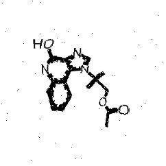 CC(=O)OCC(C)(C)n1cnc2c(O)nc3ccccc3c21